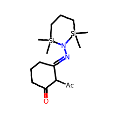 CC(=O)C1C(=O)CCCC1=NN1[Si](C)(C)CCC[Si]1(C)C